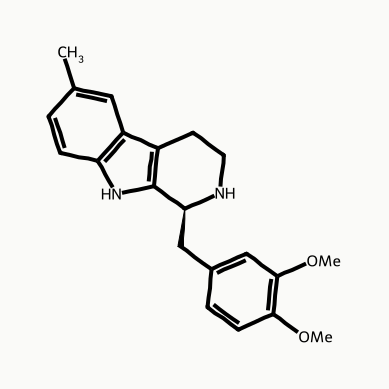 COc1ccc(C[C@@H]2NCCc3c2[nH]c2ccc(C)cc32)cc1OC